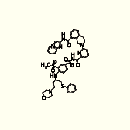 CS(=O)(=O)c1cc(S(=O)(=O)NC(=O)c2cccc(N3CCc4cccc(C(=O)Nc5cn6ccccc6n5)c4C3)n2)ccc1N[C@H](CCN1CCOCC1)CSc1ccccc1